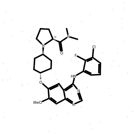 COc1cc2ncnc(Nc3cccc(Cl)c3F)c2cc1O[C@H]1CC[C@H](N2CCC[C@H]2C(=O)N(C)C)CC1